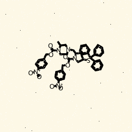 CC1CN(CC2CC(SC(c3ccccc3)(c3ccccc3)c3ccccc3)CN2C(=O)OCc2ccc([N+](=O)[O-])cc2)CCN1C(=O)OCc1ccc([N+](=O)[O-])cc1